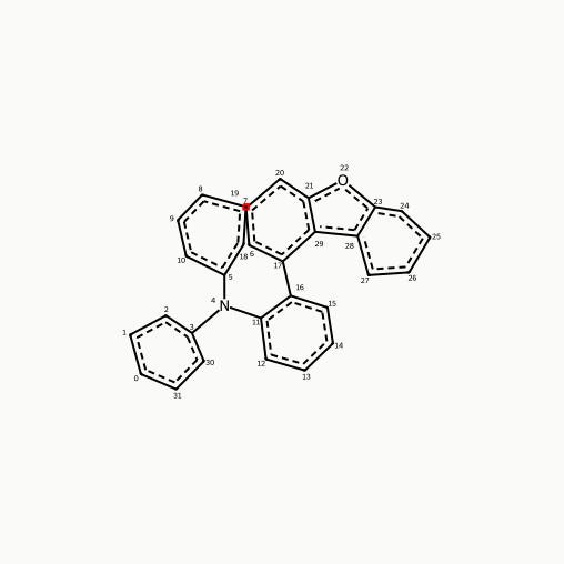 c1ccc(N(c2ccccc2)c2ccccc2-c2cccc3oc4ccccc4c23)cc1